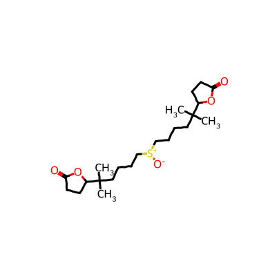 CC(C)(CCCC[S+]([O-])CCCCC(C)(C)C1CCC(=O)O1)C1CCC(=O)O1